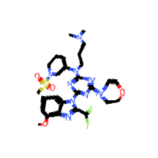 COc1cccc2c1nc(C(F)F)n2-c1nc(N2CCOCC2)nc(N(CCCN(C)C)C2CCCN(S(C)(=O)=O)C2)n1